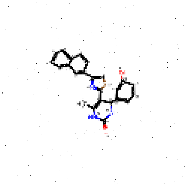 CC1=C(c2nc(-c3ccc4ccccc4c3)cs2)C(c2cccc(O)c2)NC(=O)N1